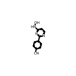 N#Cc1ccc(-c2nccc(NO)n2)cc1